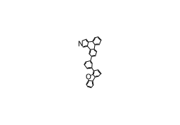 c1cc(-c2ccc3c4ccccc4c4ccncc4c3c2)cc(-c2cccc3c2oc2ccccc23)c1